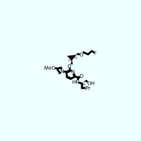 COC1CN(c2ccc(C(=O)N[C@H](CO)CC(C)C)nc2OC[C@H]2C[C@@H]2COCCCF)C1